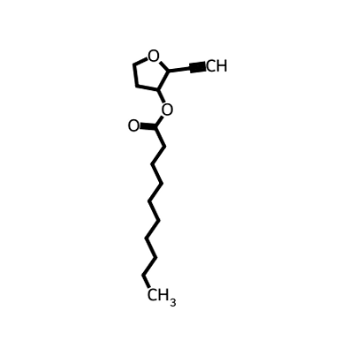 C#CC1OCCC1OC(=O)CCCCCCCCC